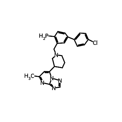 Cc1cc(C2CCCN(Cc3cc(-c4ccc(Cl)cc4)ccc3P)C2)n2ncnc2n1